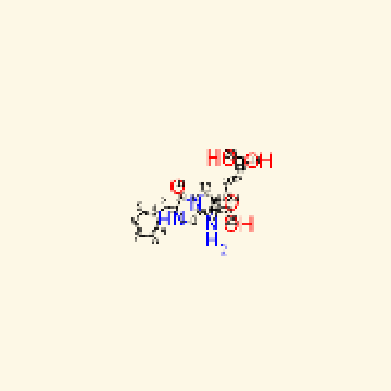 CNC(Cc1ccccc1)C(=O)N1C[C@H](CCCB(O)O)[C@](N)(C(=O)O)C1